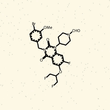 COc1cc(Cn2c(=O)c3cc(OC(CF)CF)c(F)cc3n(C3CCN(C=O)CC3)c2=O)ccc1Br